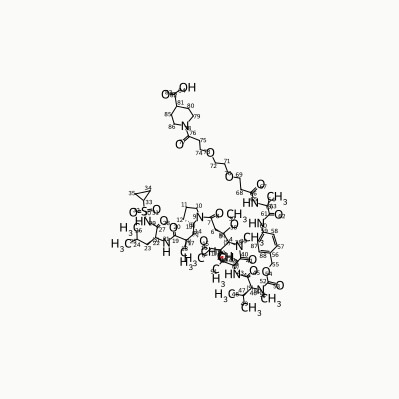 CC[C@H](C)[C@@H]([C@@H](CC(=O)N1CCC[C@H]1[C@H](OC)[C@@H](C)C(=O)N[C@@H](CC(C)C)C(=O)NS(=O)(=O)C1CC1)OC)N(C)C(=O)[C@@H](NC(=O)[C@H](C(C)C)N(C)C(=O)OCc1ccc(NC(=O)[C@H](C)NC(=O)CCOCCOCCC(=O)N2CCC(C(=O)O)CC2)cc1)C(C)C